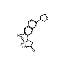 O=C1CN(c2cc3cc(C4CCOC4)ccc3cc2O)S(=O)(=O)N1